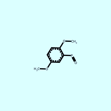 COc1ccc(OC)c(P=O)c1